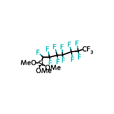 CO[Si](OC)(OC)C(F)C(F)(F)C(F)(F)C(F)(F)C(F)(F)C(F)(F)C(F)(F)F